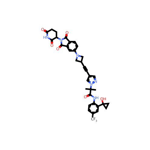 CC(C)(C(=O)Nc1ccc(C(F)(F)F)cc1C1(O)CC1)n1cc(C#CC2CN(c3ccc4c(c3)C(=O)N(C3CCC(=O)NC3=O)C4=O)C2)cn1